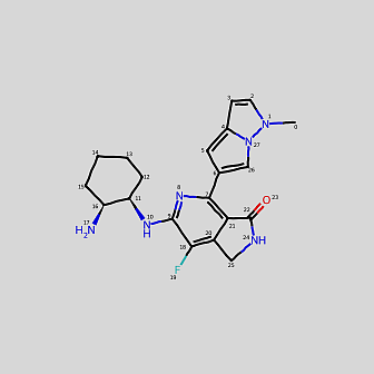 Cn1ccc2cc(-c3nc(N[C@@H]4CCCC[C@@H]4N)c(F)c4c3C(=O)NC4)cn21